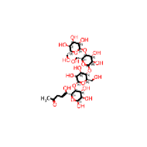 CC(=O)CC=C(O)[C@H]1O[C@H](O)[C@H](O)[C@@H](O)[C@@H]1O[C@H]1O[C@H](CO)[C@@H](O[C@H]2O[C@H](CO)[C@@H](O[C@H]3O[C@H](CO)[C@@H](O)[C@H](O)[C@H]3O)[C@H](O)[C@H]2O)[C@H](O)[C@H]1O